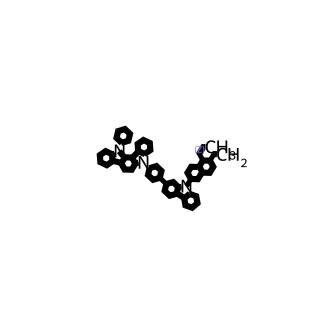 C=Cc1ccc2cc(-n3c4ccccc4c4ccc(-c5ccc(-n6c7ccccc7c7c6ccc6c8ccccc8n(-c8ccccc8)c67)cc5)cc43)ccc2c1/C=C\C